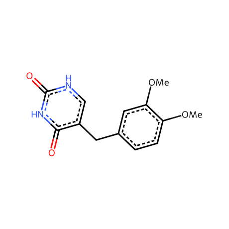 COc1ccc(Cc2c[nH]c(=O)[nH]c2=O)cc1OC